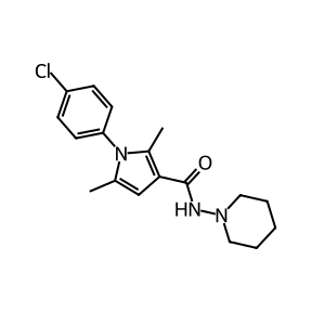 Cc1cc(C(=O)NN2CCCCC2)c(C)n1-c1ccc(Cl)cc1